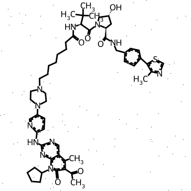 CC(=O)c1c(C)c2cnc(Nc3ccc(N4CCN(CCCCCCCC(=O)N[C@H](C(=O)N5C[C@H](O)C[C@H]5C(=O)NCc5ccc(-c6scnc6C)cc5)C(C)(C)C)CC4)cn3)nc2n(C2CCCC2)c1=O